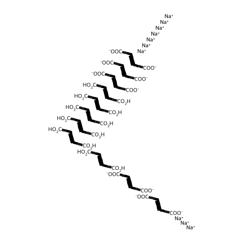 O=C(O)/C=C/C(=O)O.O=C(O)/C=C/C(=O)O.O=C(O)/C=C/C(=O)O.O=C(O)/C=C/C(=O)O.O=C(O)/C=C/C(=O)O.O=C(O)/C=C/C(=O)O.O=C([O-])/C=C/C(=O)[O-].O=C([O-])/C=C/C(=O)[O-].O=C([O-])/C=C/C(=O)[O-].O=C([O-])/C=C/C(=O)[O-].O=C([O-])/C=C/C(=O)[O-].[Na+].[Na+].[Na+].[Na+].[Na+].[Na+].[Na+].[Na+].[Na+].[Na+]